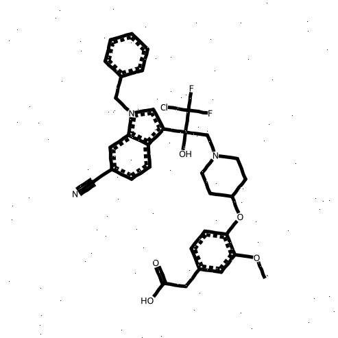 COc1cc(CC(=O)O)ccc1OC1CCN(CC(O)(c2cn(Cc3ccccc3)c3cc(C#N)ccc23)C(F)(F)Cl)CC1